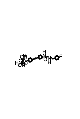 C[C@@H](O)[C@H](NC(=O)c1ccc(C#Cc2ccc(NC(=O)CNCCc3ccc(F)cc3)cc2)cc1)C(=O)NO